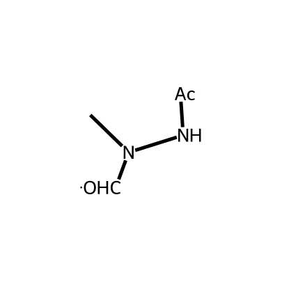 CC(=O)NN(C)[C]=O